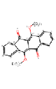 CCOC(=O)OC1=C2C(=O)c3ccccc3C(OC(=O)OCC)=C2C(=O)c2ccccc21